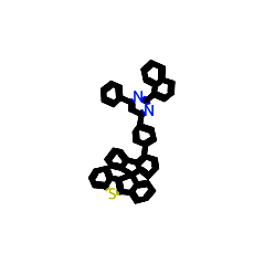 c1ccc(-c2cc(-c3ccc(-c4cccc5c4-c4ccccc4C54c5ccccc5-c5sc6ccccc6c54)cc3)nc(-c3cccc4ccccc34)n2)cc1